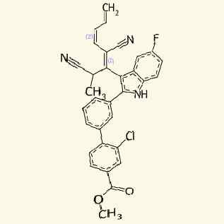 C=C/C=C\C(C#N)=C(\c1c(-c2cccc(-c3ccc(C(=O)OC)cc3Cl)c2)[nH]c2ccc(F)cc12)C(C)C#N